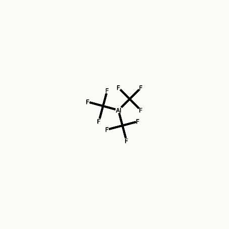 F[C](F)(F)[Al]([C](F)(F)F)[C](F)(F)F